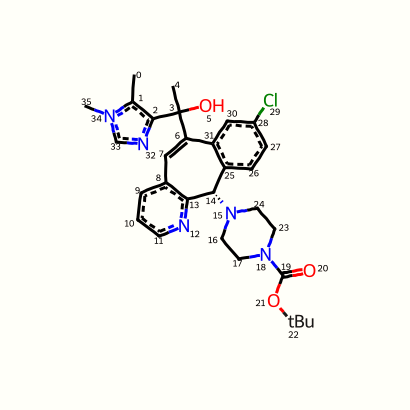 Cc1c(C(C)(O)C2=Cc3cccnc3[C@@H](N3CCN(C(=O)OC(C)(C)C)CC3)c3ccc(Cl)cc32)ncn1C